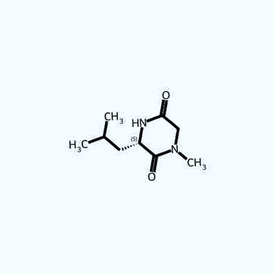 CC(C)C[C@@H]1NC(=O)CN(C)C1=O